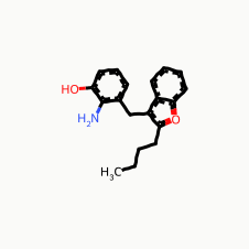 CCCCc1oc2ccccc2c1Cc1cccc(O)c1N